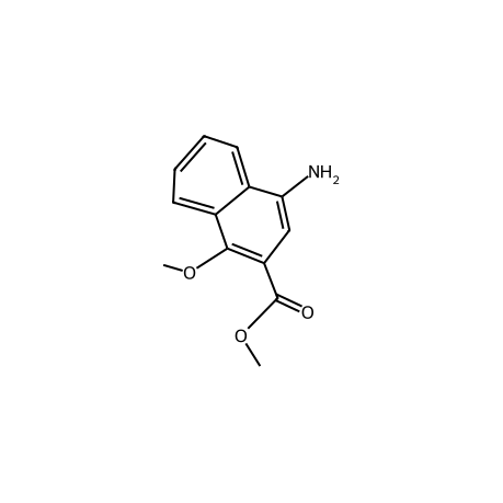 COC(=O)c1cc(N)c2ccccc2c1OC